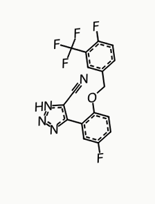 N#Cc1[nH]nnc1-c1cc(F)ccc1OCc1ccc(F)c(C(F)(F)F)c1